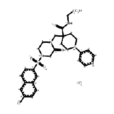 CCOC(=O)CNC(=O)C1(CN2CCN(S(=O)(=O)c3ccc4cc(Cl)ccc4c3)CC2=O)CCN(c2ccncc2)CC1.Cl